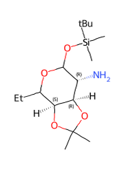 CCC1OC(O[Si](C)(C)C(C)(C)C)[C@H](N)[C@H]2OC(C)(C)O[C@@H]12